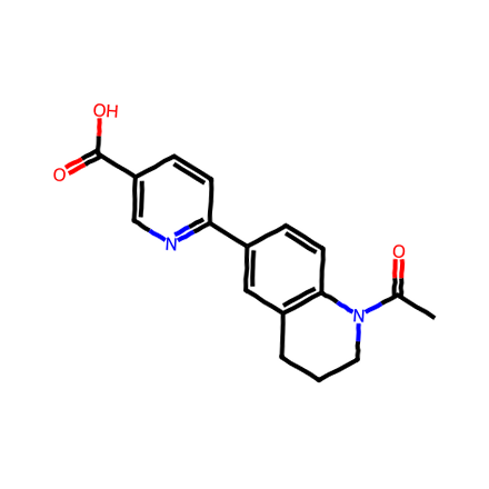 CC(=O)N1CCCc2cc(-c3ccc(C(=O)O)cn3)ccc21